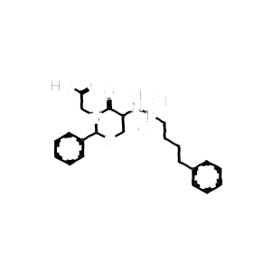 O=C(O)CN1C(=O)C(NP(=O)(O)CCCCc2ccccc2)CSC1c1ccccc1